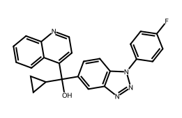 OC(c1ccc2c(c1)nnn2-c1ccc(F)cc1)(c1ccnc2ccccc12)C1CC1